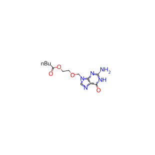 CCCCC(=O)OCCOCn1cnc2c(=O)[nH]c(N)nc21